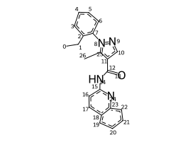 CCc1ccccc1-n1ncc(C(=O)Nc2ccc3ccccc3n2)c1C